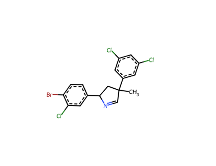 CC1(c2cc(Cl)cc(Cl)c2)C=NC(c2ccc(Br)c(Cl)c2)C1